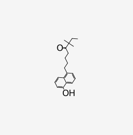 CCC(C)(C)C(=O)CCCCc1cccc2c(O)cccc12